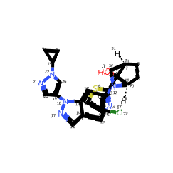 OC1(c2nccs2)[C@@H]2CC[C@H]1N(c1cc3c(cnn3-c3cnn(C4CC4)c3)cc1Cl)C2